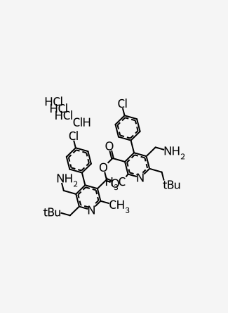 Cc1nc(CC(C)(C)C)c(CN)c(-c2ccc(Cl)cc2)c1C(=O)OC(=O)c1c(C)nc(CC(C)(C)C)c(CN)c1-c1ccc(Cl)cc1.Cl.Cl.Cl.Cl